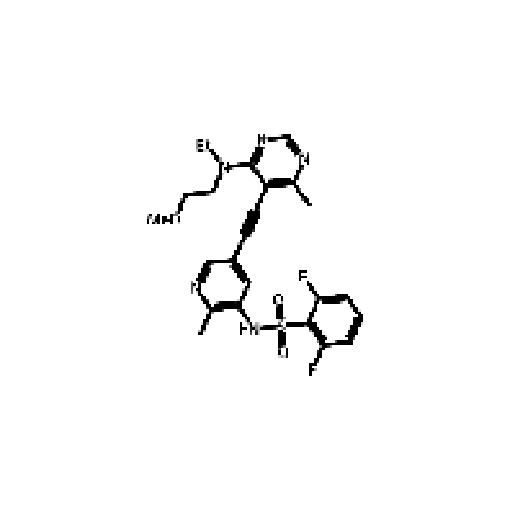 CCN(CCOC)c1ncnc(C)c1C#Cc1cnc(C)c(NS(=O)(=O)c2c(F)cccc2F)c1